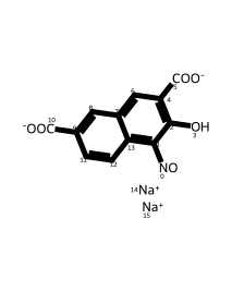 O=Nc1c(O)c(C(=O)[O-])cc2cc(C(=O)[O-])ccc12.[Na+].[Na+]